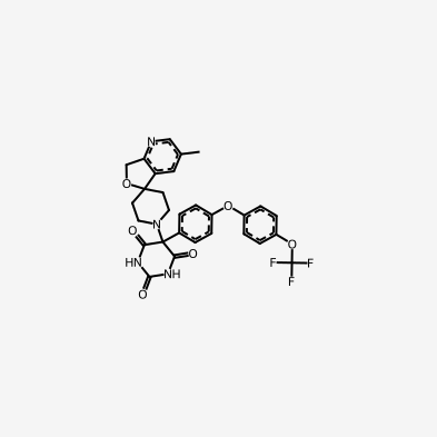 Cc1cnc2c(c1)C1(CCN(C3(c4ccc(Oc5ccc(OC(F)(F)F)cc5)cc4)C(=O)NC(=O)NC3=O)CC1)OC2